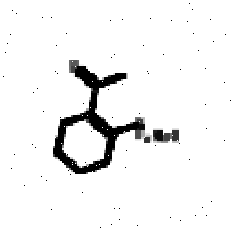 CC(=O)C1=C(N)CCCC1.[NaH]